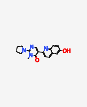 Cn1c(N2CCCC2)ncc(-c2ccc3cc(O)ccc3n2)c1=O